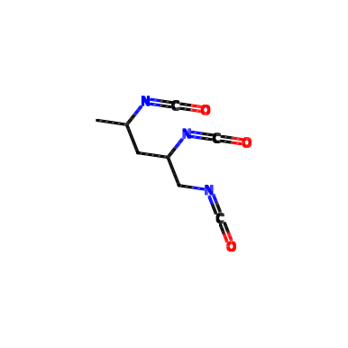 CC(CC(CN=C=O)N=C=O)N=C=O